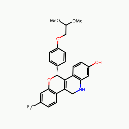 COC(COc1ccc([C@H]2Oc3cc(C(F)(F)F)ccc3C3=C2c2ccc(O)cc2NC3)cc1)OC